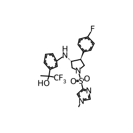 Cn1cnc(S(=O)(=O)N2C[C@H](Nc3cccc(C(C)(O)C(F)(F)F)c3)[C@@H](c3ccc(F)cc3)C2)c1